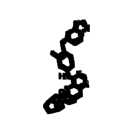 C=CC(=O)N1C2CCC1CN(c1ccc3ncnc(Nc4ccc(Cc5ccn6ncnc6c5)c(C)c4)c3n1)C2